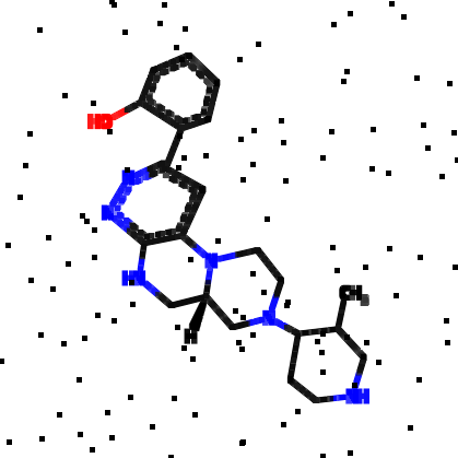 CC1CNCCC1N1CCN2c3cc(-c4ccccc4O)nnc3NC[C@H]2C1